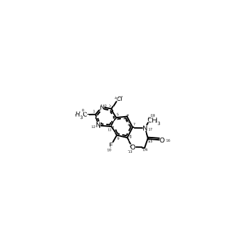 Cc1nc(Cl)c2cc3c(c(F)c2n1)OCC(=O)N3C